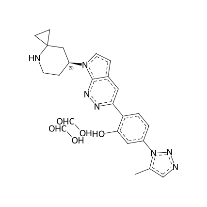 Cc1cnnn1-c1ccc(-c2cc3ccn([C@H]4CCNC5(CC5)C4)c3nn2)c(O)c1.O=CO.O=CO